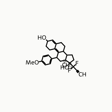 C#CC(F)(F)[C@]1(O)CCC2C3CCC4=CC(O)CCC4=C3C(c3ccc(OC)cc3)C[C@@]21C